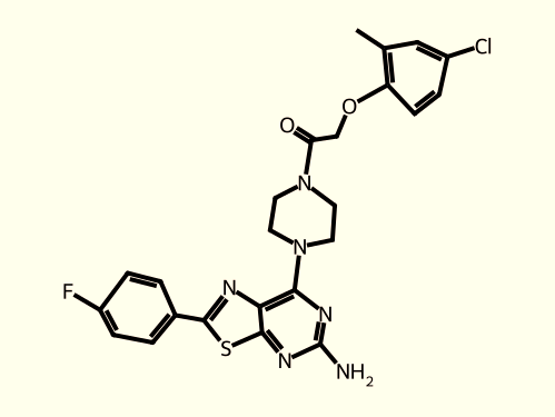 Cc1cc(Cl)ccc1OCC(=O)N1CCN(c2nc(N)nc3sc(-c4ccc(F)cc4)nc23)CC1